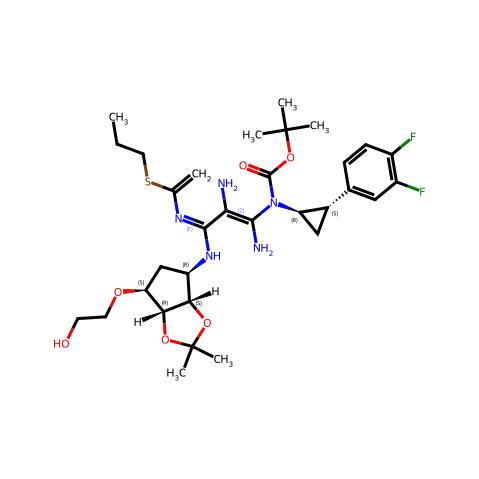 C=C(/N=C(N[C@@H]1C[C@H](OCCO)[C@H]2OC(C)(C)O[C@H]21)\C(N)=C(/N)N(C(=O)OC(C)(C)C)[C@@H]1C[C@H]1c1ccc(F)c(F)c1)SCCC